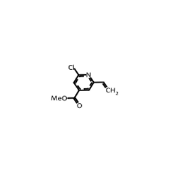 C=Cc1cc(C(=O)OC)cc(Cl)n1